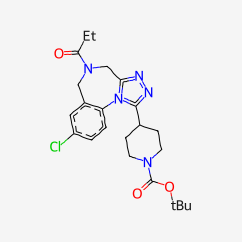 CCC(=O)N1Cc2cc(Cl)ccc2-n2c(nnc2C2CCN(C(=O)OC(C)(C)C)CC2)C1